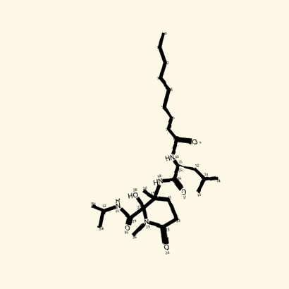 CCCCCCCCC(=O)N[C@@H](CC(C)C)C(=O)NC1(C)CCC(=O)N(C)C1(O)C(=O)NC(C)C